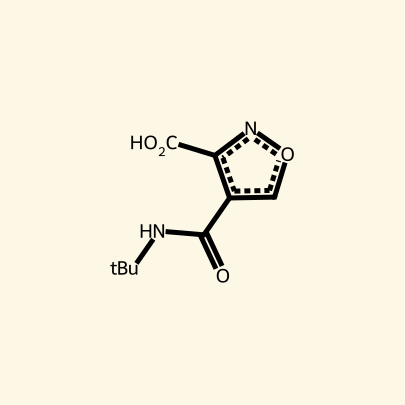 CC(C)(C)NC(=O)c1conc1C(=O)O